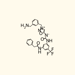 NCc1cccc(C[n+]2cc([N-]C(=O)Nc3cc(NC(=O)Cc4ccccc4)cc(C(F)(F)F)c3)on2)c1